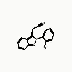 N#CCc1c2ccccc2nn1-c1ccccc1Br